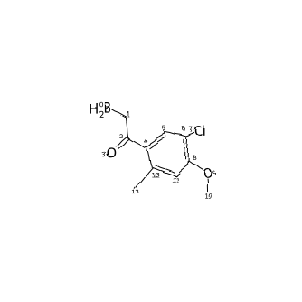 BCC(=O)c1cc(Cl)c(OC)cc1C